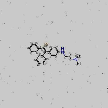 CCN(CC)CCCNc1ccc(C(=C(Br)c2ccccc2)c2ccccc2)cc1